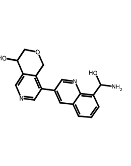 NC(O)c1cccc2cc(-c3cncc4c3COCC4O)cnc12